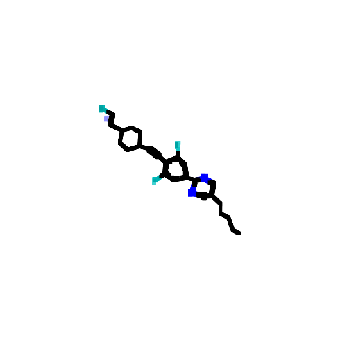 CCCCCc1cnc(-c2cc(F)c(C#CC3CCC(/C=C/F)CC3)c(F)c2)nc1